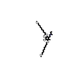 CC/C(C)=C/Cc1c(C)c(OCCCCCCCCCCOC)c(OC)c(OC)c1OCCCCCCCCCCOC